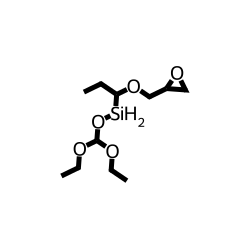 CCOC(OCC)O[SiH2]C(CC)OCC1CO1